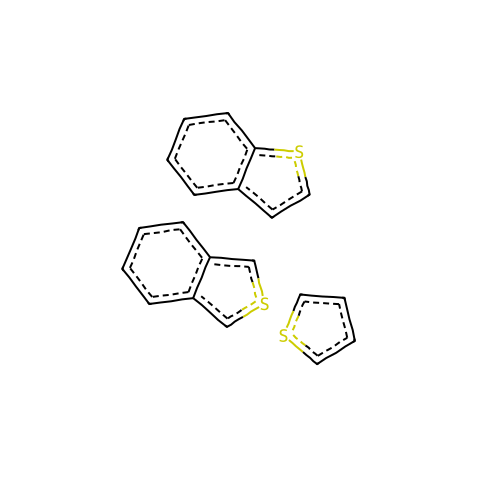 c1ccc2cscc2c1.c1ccc2sccc2c1.c1ccsc1